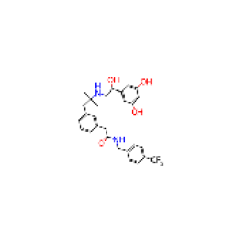 CC(C)(Cc1cccc(CC(=O)NCc2ccc(C(F)(F)F)cc2)c1)NCC(O)c1cc(O)cc(O)c1